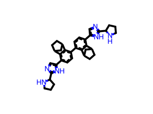 c1nc(C2CCCN2)[nH]c1-c1ccc(-c2ccc(-c3cnc(C4CCCN4)[nH]3)c3c2C2CCC3C2)c2c1C1CCC2C1